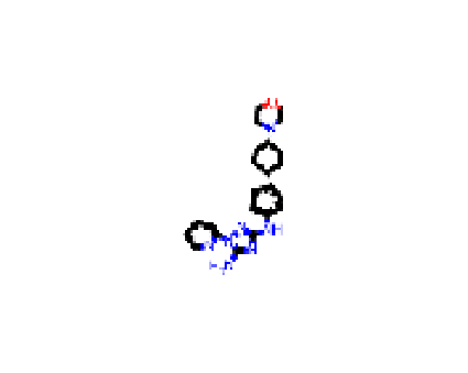 Nc1nc(Nc2ccc([C@H]3CC[C@@H](N4CCOCC4)CC3)cc2)nn1-c1ccccn1